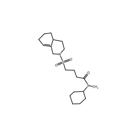 CN(C(=O)CCCS(=O)(=O)N1CCC2CCCC=C2C1)C1CCCCC1